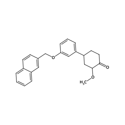 COC1CC(c2cccc(OCc3ccc4ccccc4c3)c2)CCC1=O